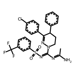 C/C(N)=N\C(=N\S(=O)(=O)c1cccc(C(F)(F)F)c1)N1CCC(c2ccccc2)C(c2ccc(Cl)cc2)=N1